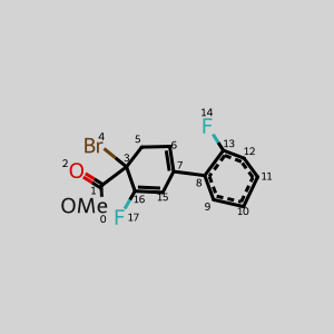 COC(=O)C1(Br)CC=C(c2ccccc2F)C=C1F